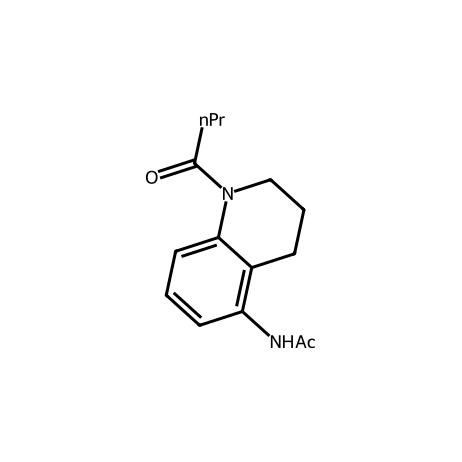 CCCC(=O)N1CCCc2c(NC(C)=O)cccc21